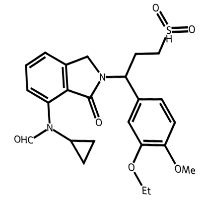 CCOc1cc(C(CC[SH](=O)=O)N2Cc3cccc(N(C=O)C4CC4)c3C2=O)ccc1OC